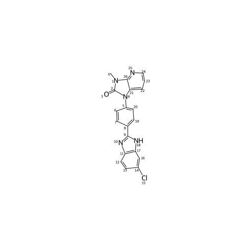 Cn1c(=O)n(-c2ccc(-c3nc4ccc(Cl)cc4[nH]3)cc2)c2cccnc21